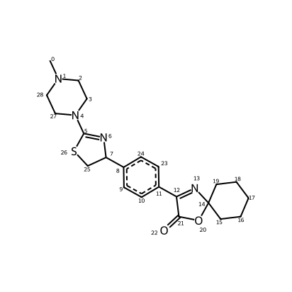 CN1CCN(C2=NC(c3ccc(C4=NC5(CCCCC5)OC4=O)cc3)CS2)CC1